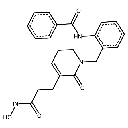 O=C(CCC1=CCCN(Cc2ccccc2NC(=O)c2ccccc2)C1=O)NO